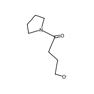 [O]CCCC(=O)N1CCCC1